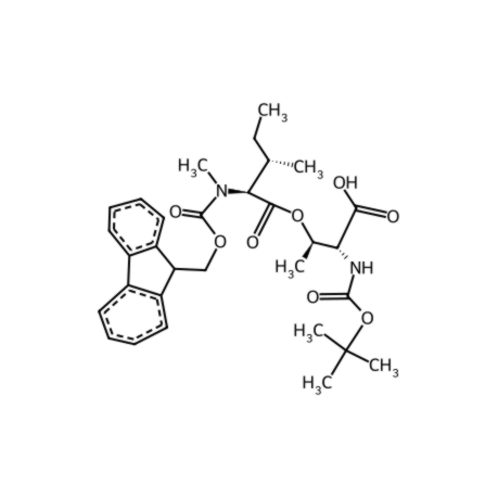 CC[C@H](C)[C@@H](C(=O)O[C@H](C)[C@@H](NC(=O)OC(C)(C)C)C(=O)O)N(C)C(=O)OCC1c2ccccc2-c2ccccc21